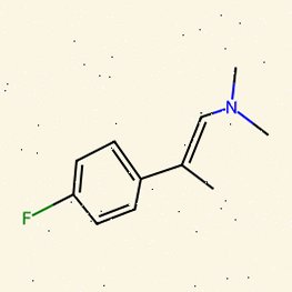 CC(=[C]N(C)C)c1ccc(F)cc1